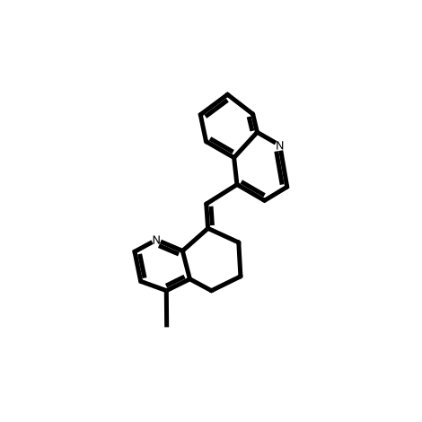 Cc1ccnc2c1CCCC2=Cc1ccnc2ccccc12